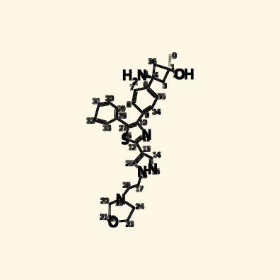 C[C@]1(O)C[C@](N)(c2ccc(-c3nc(-c4cnn(CCN5CCOCC5)c4)sc3-c3ccccc3)cc2)C1